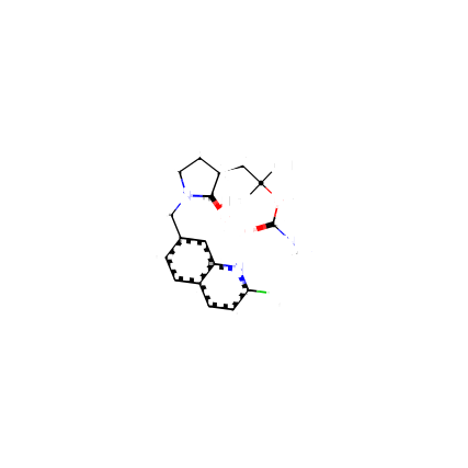 CC(C)(C[C@@H]1CCN(Cc2ccc3ccc(Cl)nc3c2)C1=O)OC(N)=O